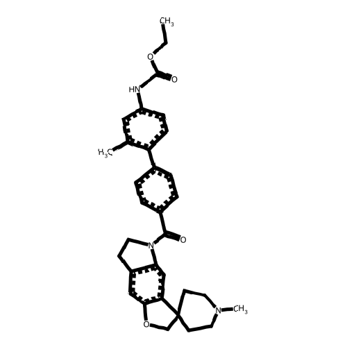 CCOC(=O)Nc1ccc(-c2ccc(C(=O)N3CCc4cc5c(cc43)C3(CCN(C)CC3)CO5)cc2)c(C)c1